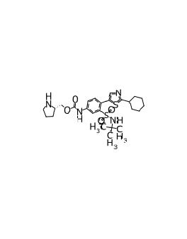 CC(C)(C)NS(=O)(=O)c1cc(NC(=O)OC[C@@H]2CCCN2)ccc1-c1cnc(C2CCCCC2)s1